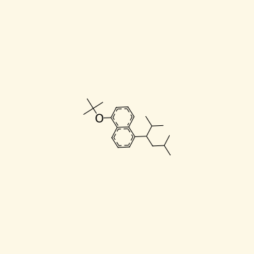 CC(C)CC(c1cccc2c(OC(C)(C)C)cccc12)C(C)C